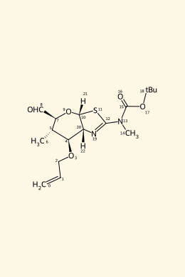 C=CCO[C@H]1[C@H](C)[C@@H](C=O)O[C@@H]2SC(N(C)C(=O)OC(C)(C)C)=N[C@H]12